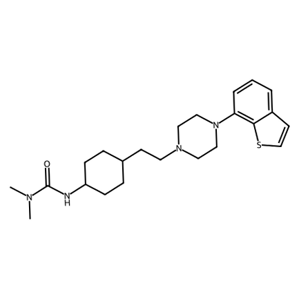 CN(C)C(=O)NC1CCC(CCN2CCN(c3cccc4ccsc34)CC2)CC1